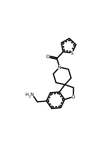 NCc1ccc2c(c1)C1(CCN(C(=O)c3cccs3)CC1)CO2